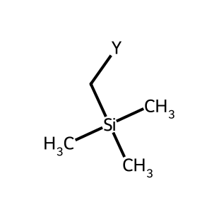 C[Si](C)(C)[CH2][Y]